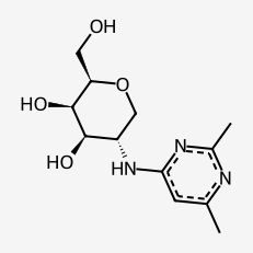 Cc1cc(N[C@H]2CO[C@H](CO)[C@H](O)[C@@H]2O)nc(C)n1